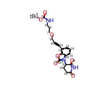 CC(C)(C)OC(=O)NCCCOCC#Cc1cccc2c1oc(=O)n2C1CCC(=O)NC1=O